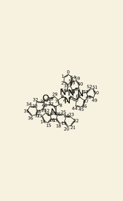 c1ccc(-c2nc(-c3cc(-n4c5ccccc5c5cc6ccccc6cc54)c4c(c3)oc3cc5ccccc5cc34)nc(-c3cccc4c5ccccc5n(-c5ccccc5)c34)n2)cc1